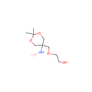 BNC1(COCCO)COC(C)(C)OC1